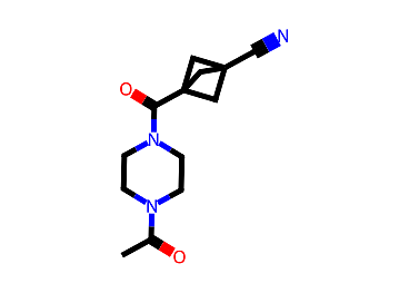 CC(=O)N1CCN(C(=O)C23CC(C#N)(C2)C3)CC1